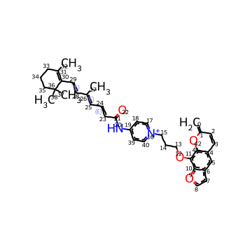 C=C1C=Cc2cc3ccoc3c(OCCC[n+]3ccc(NC(=O)/C=C/C=C(C)/C=C/C4=C(C)CCCC4(C)C)cc3)c2O1